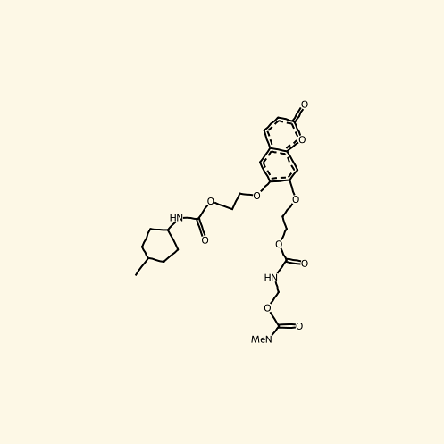 CNC(=O)OCNC(=O)OCCOc1cc2oc(=O)ccc2cc1OCCOC(=O)NC1CCC(C)CC1